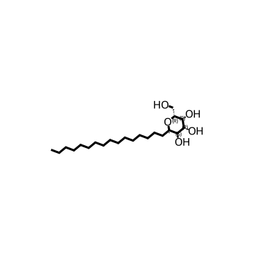 CCCCCCCCCCCCCCCC[C]1O[C@H](CO)[C@H](O)[C@H](O)[C@H]1O